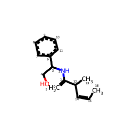 C=C(NC(CO)c1ccccc1)C(C)/C=C\C